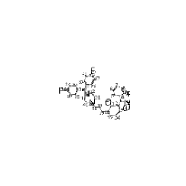 O=C1c2c(-c3ccccc3F)noc2CCC1CCCN1CCN(C(c2ccc(F)cc2)c2ccc(F)cc2)CC1